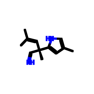 CC(C)=C[C@@](C)(C=N)c1cc(C)c[nH]1